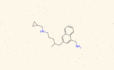 CC(CCCNCC1CC1)Cc1cc(CN)c2ccccc2c1